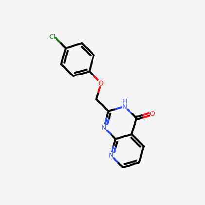 O=c1[nH]c(COc2ccc(Cl)cc2)nc2ncccc12